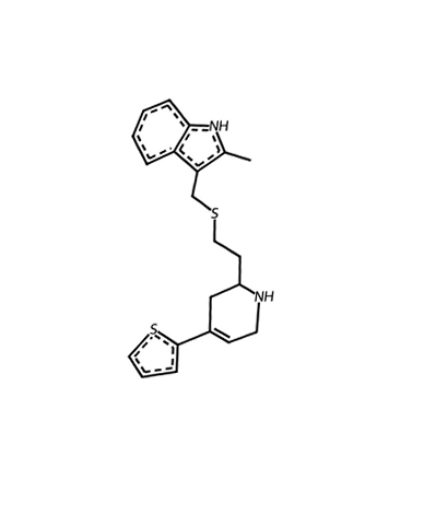 Cc1[nH]c2ccccc2c1CSCCC1CC(c2cccs2)=CCN1